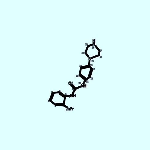 CCCc1ccccc1NC(=O)Nc1ccc(N2CCNCC2)cc1